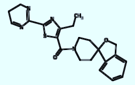 CCc1nc(C2=NCCC=N2)sc1C(=O)N1CCC2(CC1)OCc1ccccc12